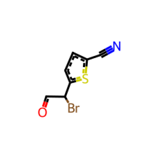 N#Cc1ccc(C(Br)C=O)s1